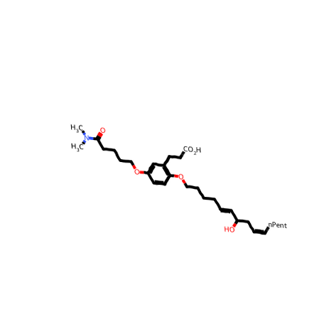 CCCCC/C=C\CC(O)/C=C/CCCCOc1ccc(OCCCCC(=O)N(C)C)cc1CCC(=O)O